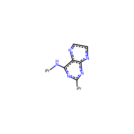 CC(C)Nc1nc(C(C)C)nc2nccnc12